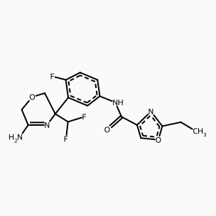 CCc1nc(C(=O)Nc2ccc(F)c(C3(C(F)F)COCC(N)=N3)c2)co1